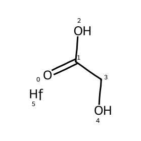 O=C(O)CO.[Hf]